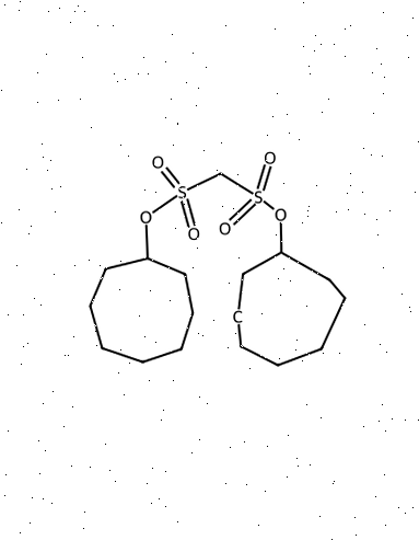 O=S(=O)(CS(=O)(=O)OC1CCCCCCC1)OC1CCCCCCC1